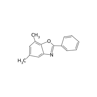 Cc1cc(C)c2oc(-c3ccccc3)nc2c1